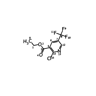 CCOC(=O)c1cc(C(F)(F)F)cnc1Cl